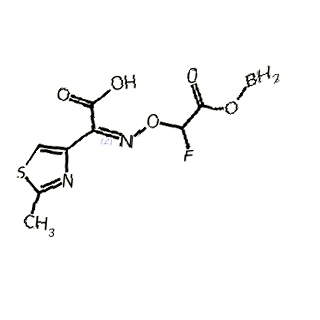 BOC(=O)C(F)O/N=C(\C(=O)O)c1csc(C)n1